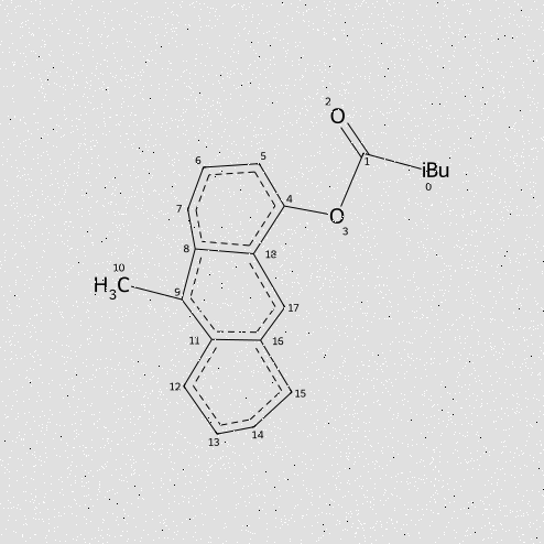 CCC(C)C(=O)Oc1cccc2c(C)c3ccccc3cc12